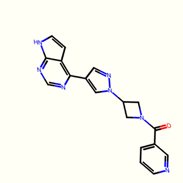 O=C(c1cccnc1)N1CC(n2cc(-c3ncnc4[nH]ccc34)cn2)C1